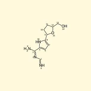 N=C/N=C(/N)c1ccc(C2CCC(CO)O2)[nH]1